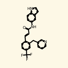 O=C(C=Cc1ccc(C(F)(F)F)cc1Cc1cccnc1)Nc1ccc2[nH]ccc2c1